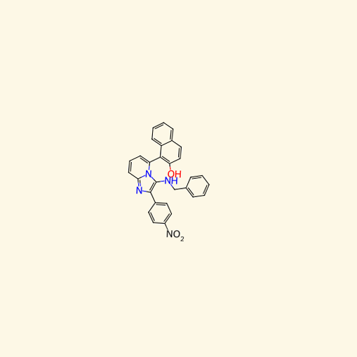 O=[N+]([O-])c1ccc(-c2nc3cccc(-c4c(O)ccc5ccccc45)n3c2NCc2ccccc2)cc1